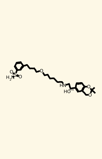 CC1(C)OCc2cc([C@H](O)CNCCCCCCOCCCCc3cccc(S(N)(=O)=O)c3)ccc2O1